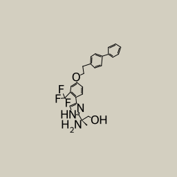 C[C@](N)(CO)c1nc(-c2ccc(OCCc3ccc(-c4ccccc4)cc3)cc2C(F)(F)F)c[nH]1